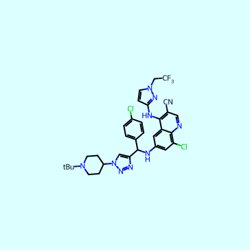 CC(C)(C)N1CCC(n2cc(C(Nc3cc(Cl)c4ncc(C#N)c(Nc5ccn(CC(F)(F)F)n5)c4c3)c3ccc(Cl)cc3)nn2)CC1